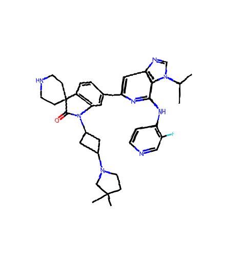 CC(C)n1cnc2cc(-c3ccc4c(c3)N(C3CC(N5CCC(C)(C)C5)C3)C(=O)C43CCNCC3)nc(Nc3ccncc3F)c21